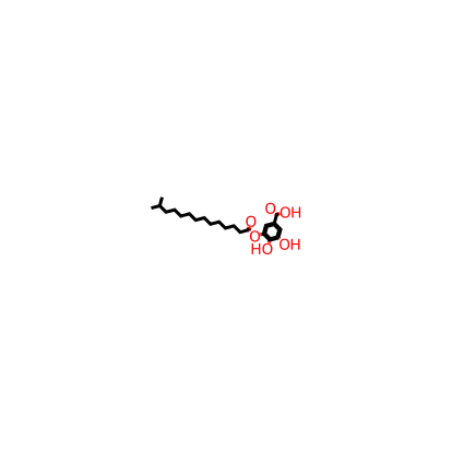 CC(C)CCCCCCCCCCCC(=O)Oc1cc(C(=O)O)cc(O)c1O